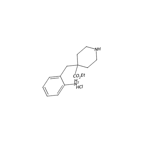 CCOC(=O)C1(Cc2ccccc2N)CCNCC1.Cl